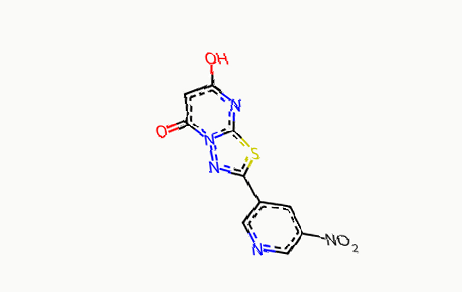 O=c1cc(O)nc2sc(-c3cncc([N+](=O)[O-])c3)nn12